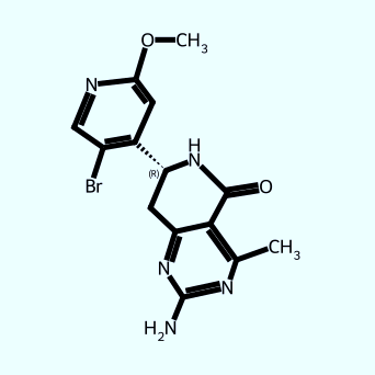 COc1cc([C@H]2Cc3nc(N)nc(C)c3C(=O)N2)c(Br)cn1